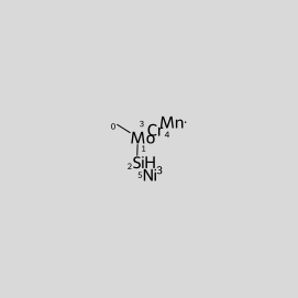 [CH3][Mo][SiH3].[Cr].[Mn].[Ni]